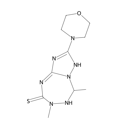 CC1NN(C)C(=S)N=C2N=C(N3CCOCC3)NN21